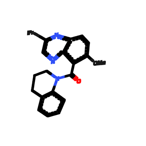 COc1ccc2nc(C(C)C)cnc2c1C(=O)N1CCCc2ccccc21